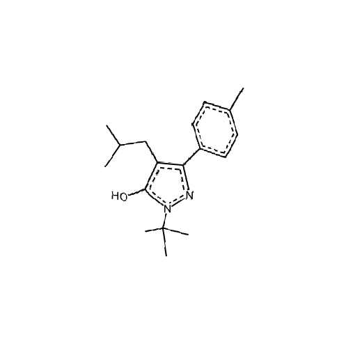 Cc1ccc(-c2nn(C(C)(C)C)c(O)c2CC(C)C)cc1